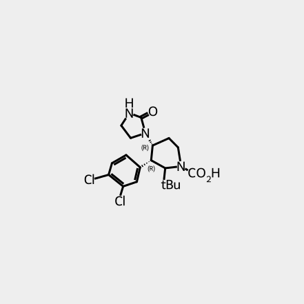 CC(C)(C)C1[C@H](c2ccc(Cl)c(Cl)c2)[C@H](N2CCNC2=O)CCN1C(=O)O